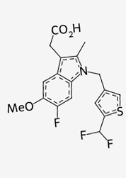 COc1cc2c(CC(=O)O)c(C)n(Cc3csc(C(F)F)c3)c2cc1F